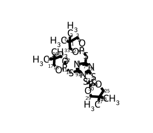 CC1(C)COP(Sc2nc(SP3OCC(C)(C)CO3)nc(SP3(=S)OCC(C)(C)CO3)n2)OC1